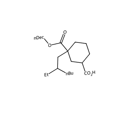 CCCCCCCCCCOC(=O)C1(CC(CC)CCCC)CCCC(C(=O)O)C1